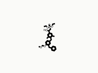 CCOP(=O)(CC(O)c1cc(C)c(Cc2ccc(OCOC)c(Cc3ccccc3)c2)c(C)c1)OCC